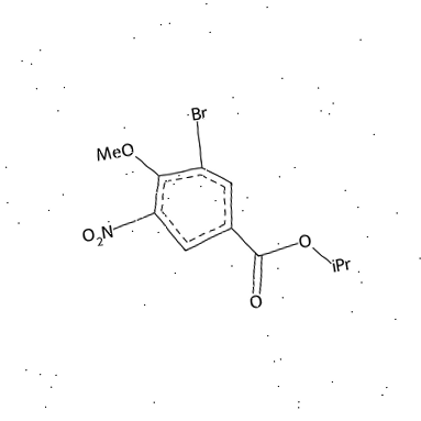 COc1c(Br)cc(C(=O)OC(C)C)cc1[N+](=O)[O-]